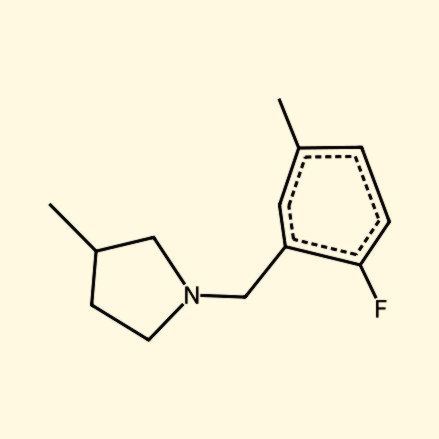 Cc1ccc(F)c(CN2CCC(C)C2)c1